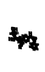 N#CCC1(N2CCC(N[C@@H]3C[C@@H]3c3ccccc3)CC2)CN(C(O)N2CC(O)C2)C1